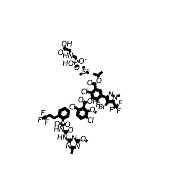 CC(C)OC(=O)c1cc(-c2nn(C)c(C(F)(F)F)c2Br)c(F)cc1Cl.COc1c(Cl)ccc(Cl)c1C(=O)O.COc1nc(C)nc(NC(=O)NS(=O)(=O)c2ccccc2CCC(F)(F)F)n1.C[S+](C)C.O=C(O)CNCP(=O)([O-])O